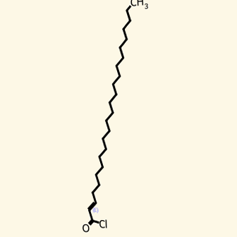 CCCCCCCCCCCCCCCCCCCCCC/C=C/C(=O)Cl